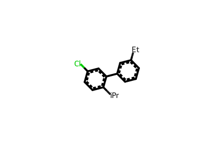 CCc1cccc(-c2cc(Cl)ccc2C(C)C)c1